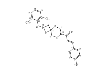 O=C(C=Cc1ccc(Br)cc1)N1CCC2(CC1)CN(Cc1c(Cl)cccc1Cl)C2